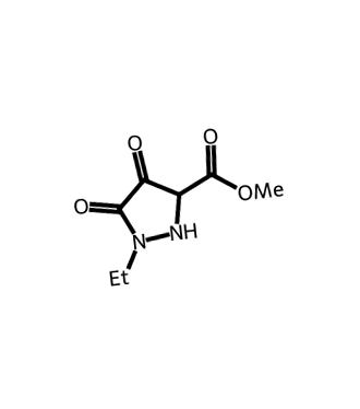 CCN1NC(C(=O)OC)C(=O)C1=O